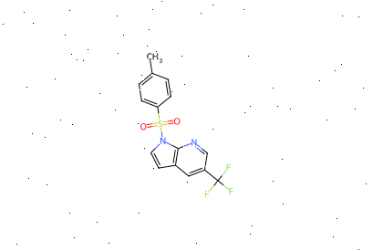 Cc1ccc(S(=O)(=O)n2ccc3cc(C(F)(F)F)cnc32)cc1